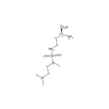 CN(C)CCN(C)S(=O)(=O)NCC[C@H](N)C(=O)O